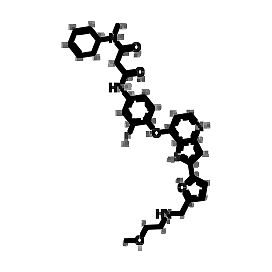 COCCNCc1ccc(-c2cc3nccc(Oc4ccc(NC(=O)CC(=O)N(C)C5C=CC=CC5)cc4F)c3s2)o1